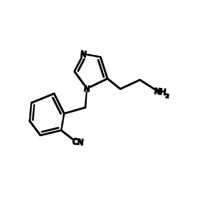 N#Cc1ccccc1Cn1cncc1CCN